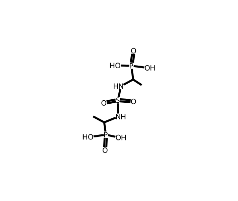 CC(NS(=O)(=O)NC(C)P(=O)(O)O)P(=O)(O)O